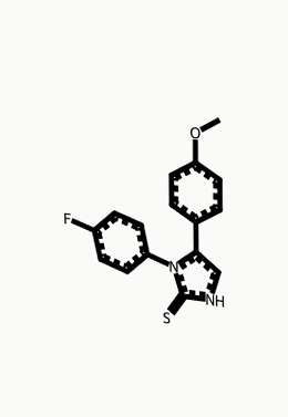 COc1ccc(-c2c[nH]c(=S)n2-c2ccc(F)cc2)cc1